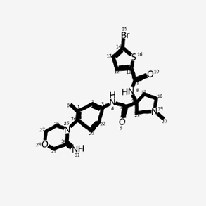 Cc1cc(NC(=O)C2(NC(=O)c3ccc(Br)s3)CCN(C)C2)ccc1N1CCOCC1=N